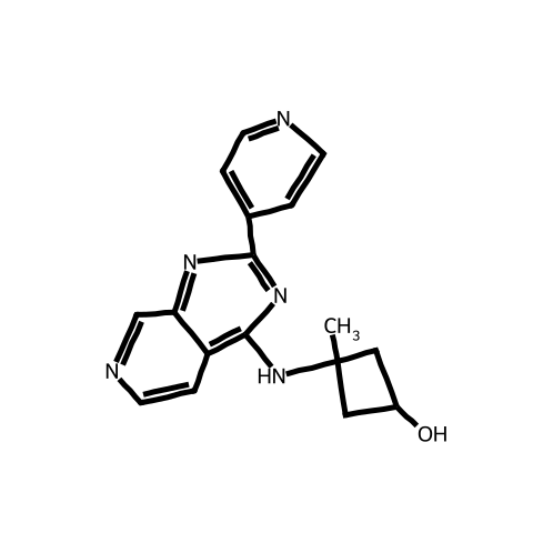 CC1(Nc2nc(-c3ccncc3)nc3cnccc23)CC(O)C1